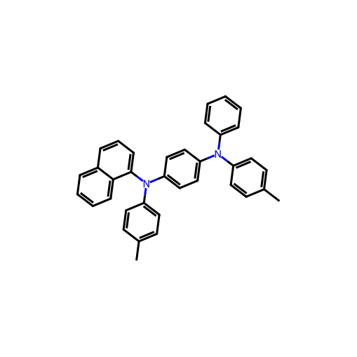 Cc1ccc(N(c2ccccc2)c2ccc(N(c3ccc(C)cc3)c3cccc4ccccc34)cc2)cc1